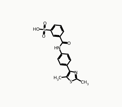 Cc1nc(-c2ccc(NC(=O)c3cccc(S(=O)(=O)O)c3)cc2)c(C)s1